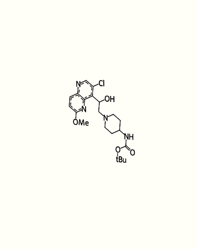 COc1ccc2ncc(Cl)c(C(O)CN3CCC(NC(=O)OC(C)(C)C)CC3)c2n1